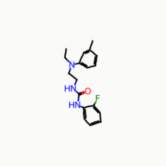 CCN(CCNC(=O)Nc1ccccc1F)c1cccc(C)c1